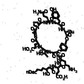 CCCCCCCCCCCCCC(O)CC(=O)NC(CCC(=O)O)C(=O)NC(CCCN)C(=O)NC1Cc2ccc(cc2)OC(=O)C(C(C)CC)NC(=O)C(Cc2ccc(O)cc2)NC(=O)C(CCC(N)=O)NC(=O)C2CCCN2C(=O)C(C)NC(=O)C(CCC(=O)O)NC(=O)C(C(C)O)NC1=O